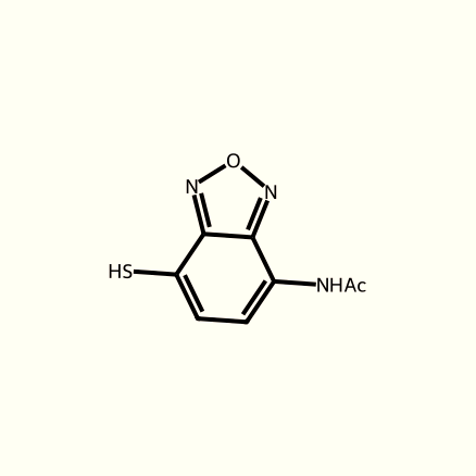 CC(=O)Nc1ccc(S)c2nonc12